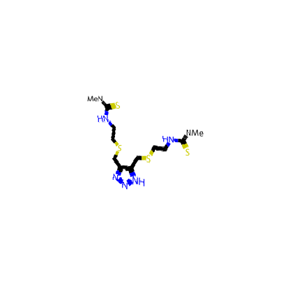 CNC(=S)NCCSCc1nn[nH]c1CSCCNC(=S)NC